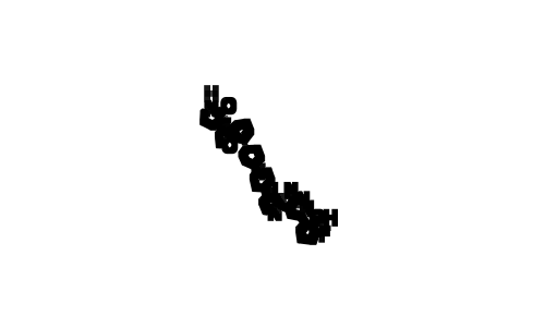 C[C@@]1(N2CCOc3c2cccc3[C@H]2CC[C@H](N3CCC(c4ccnc(-c5cc(-c6cccc(F)c6O)nnc5N)c4)CC3)CC2)CCCNC1=O